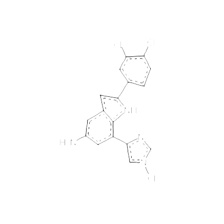 Cn1cnc(-c2cc(N)cc3cc(-c4ccc(Cl)c(Cl)c4)[nH]c23)c1